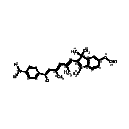 CCN(CC)c1ccc(/C(Cl)=C/C(C)=C/C(C)=C/C2=[N+](C)c3ccc(OC=O)cc3C2(C)C)cc1